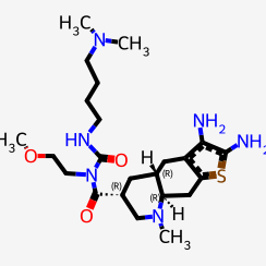 COCCN(C(=O)NCCCCN(C)C)C(=O)[C@@H]1C[C@@H]2Cc3c(sc(N)c3N)C[C@H]2N(C)C1